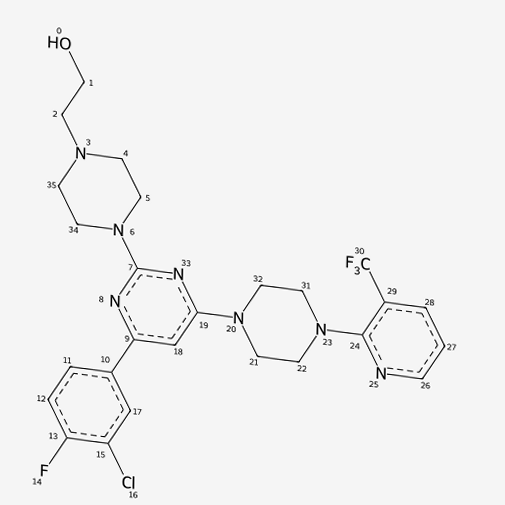 OCCN1CCN(c2nc(-c3ccc(F)c(Cl)c3)cc(N3CCN(c4ncccc4C(F)(F)F)CC3)n2)CC1